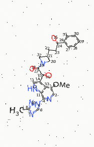 COc1cnc(-n2cnc(C)n2)c2[nH]cc(C(=O)C(=O)N3CC(CCC(=O)c4ccccc4)C3)c12